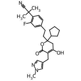 Cn1cc(CC2=C(O)CC(CCc3ccc(C(C)(C)C#N)c(F)c3)(C3CCCC3)OC2=O)cn1